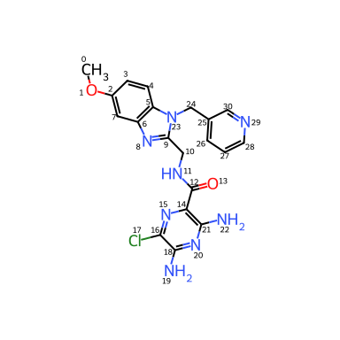 COc1ccc2c(c1)nc(CNC(=O)c1nc(Cl)c(N)nc1N)n2Cc1cccnc1